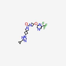 O=C(N1CC(Oc2cncc(C(F)(F)F)n2)C1)N1CC2(CC(n3cnc(C4CC4)n3)C2)C1